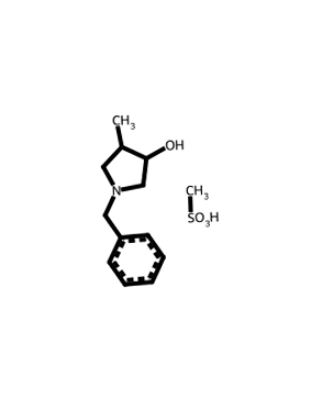 CC1CN(Cc2ccccc2)CC1O.CS(=O)(=O)O